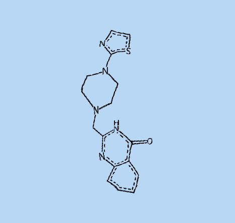 O=c1[nH]c(CN2CCN(c3nccs3)CC2)nc2ccccc12